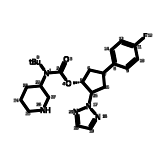 CC(C)(C)N(C(=O)O[C@@H]1CC(c2ccc(F)cc2)CC1n1nccn1)C1CCCNC1